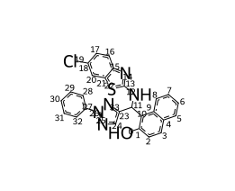 Oc1ccc2ccccc2c1C(Nc1nc2ccc(Cl)cc2s1)c1cnn(-c2ccccc2)n1